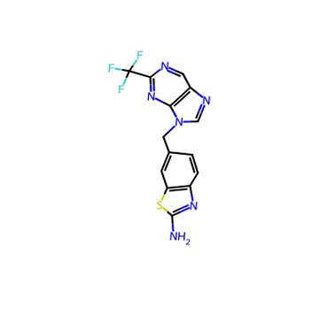 Nc1nc2ccc(Cn3cnc4cnc(C(F)(F)F)nc43)cc2s1